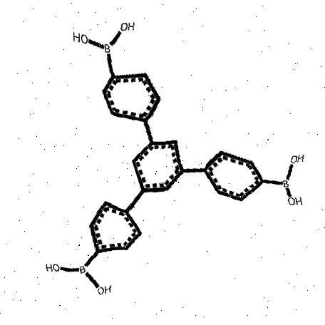 OB(O)c1ccc(-c2cc(-c3ccc(B(O)O)cc3)cc(-c3ccc(B(O)O)cc3)c2)cc1